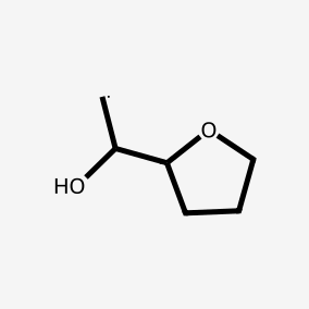 [CH2]C(O)[C]1CCCO1